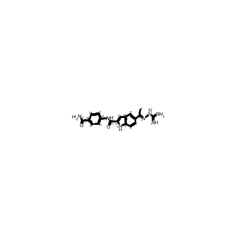 C/C(=N\NC(=N)N)c1ccc2[nH]c(C(=O)Nc3ccc(C(N)=O)cc3)cc2c1